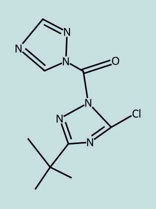 CC(C)(C)c1nc(Cl)n(C(=O)n2cncn2)n1